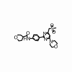 CS(=O)(=O)Cc1cc(N2CCOCC2)nc(-c2ccc(NC(=O)C3CCOCC3)cc2)n1